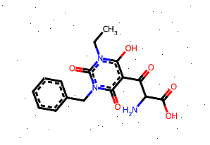 CCn1c(O)c(C(=O)C(N)C(=O)O)c(=O)n(Cc2ccccc2)c1=O